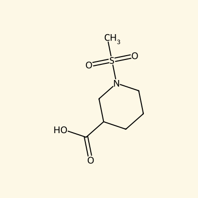 CS(=O)(=O)N1CCCC(C(=O)O)C1